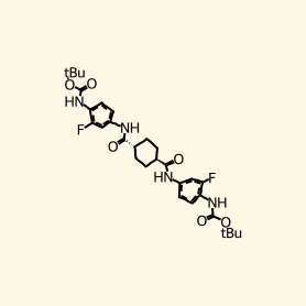 CC(C)(C)OC(=O)Nc1ccc(NC(=O)[C@H]2CC[C@H](C(=O)Nc3ccc(NC(=O)OC(C)(C)C)c(F)c3)CC2)cc1F